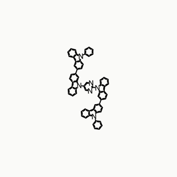 c1ccc(-n2c3ccccc3c3cc(-c4ccc5c6ccccc6n(-c6cnc(-n7c8ccccc8c8ccc(-c9ccc%10c(c9)c9ccccc9n%10-c9ccccc9)cc87)nc6)c5c4)ccc32)cc1